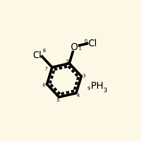 ClOc1ccccc1Cl.P